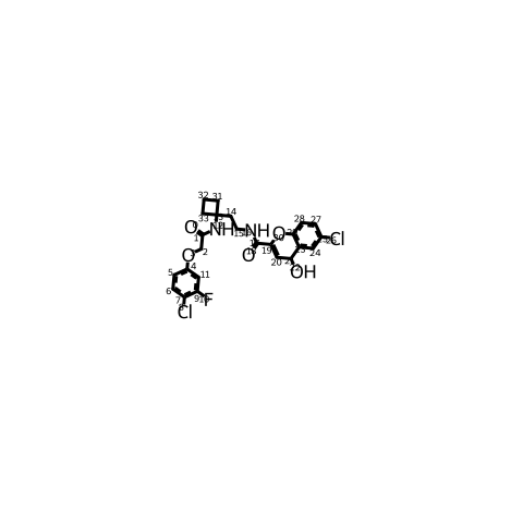 O=C(COc1ccc(Cl)c(F)c1)NC1(CCNC(=O)C2=CC(O)c3cc(Cl)ccc3O2)CCC1